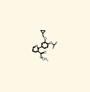 COC(=O)c1cccnc1-c1ccc(OC(F)F)c(OCC2CC2)c1